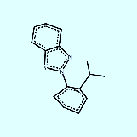 CC(C)c1cc[c]cc1-n1nc2ccccc2n1